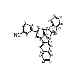 N#Cc1cccc(-c2cc3c4cc5ccccc5cc4n4c3c(c2)n2c3ccccc3nc24)c1